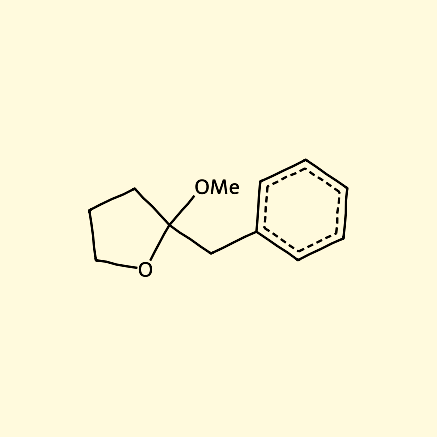 COC1(Cc2ccccc2)CCCO1